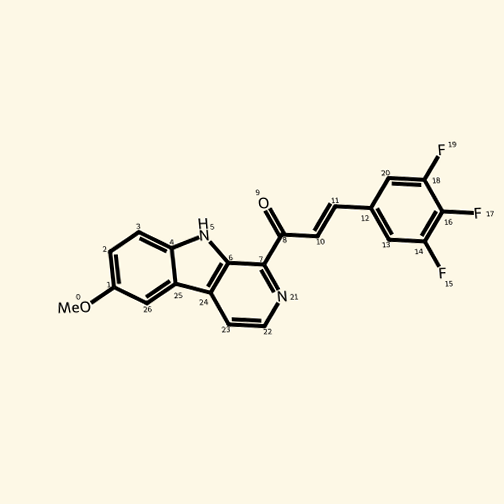 COc1ccc2[nH]c3c(C(=O)C=Cc4cc(F)c(F)c(F)c4)nccc3c2c1